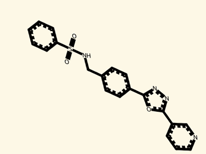 O=S(=O)(NCc1ccc(-c2nnc(-c3cccnc3)o2)cc1)c1ccccc1